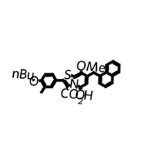 CCCCOc1ccc(-c2sc3c(OC)c(Cc4cccc5ccccc45)cc(=O)n3c2C(=O)O)cc1C